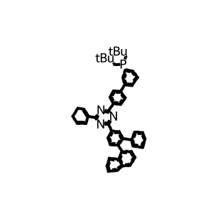 CC(C)(C)CP(CC(C)(C)C)c1cccc(-c2ccc(-c3nc(C4=CCCC=C4)nc(-c4ccc(-c5cccc6ccccc56)c(-c5ccccc5)c4)n3)cc2)c1